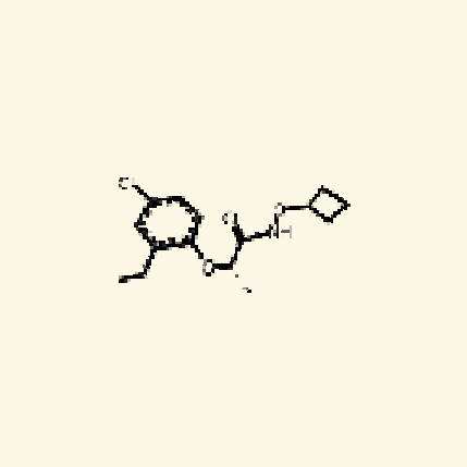 CCc1cc(Cl)ccc1O[C@@H](C)C(=O)NOC1CCC1